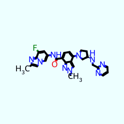 Cc1cn2cc(NC(=O)c3ccc(N4CC[C@H](NCc5ncccn5)C4)c4cn(C)nc34)cc(F)c2n1